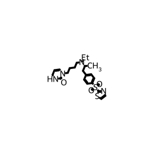 CCN(CCCCN1C=CCNC1=O)C(C)Cc1ccc(S(=O)(=O)c2nccs2)cc1